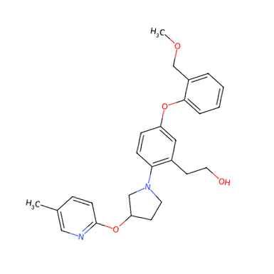 COCc1ccccc1Oc1ccc(N2CCC(Oc3ccc(C)cn3)C2)c(CCO)c1